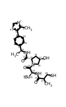 Cc1ncsc1-c1ccc([C@H](C)NC(=O)[C@@H]2C[C@@H](O)CN2C(=O)[C@@H](NC(=O)C(C)CS)C(C)(C)C)cc1